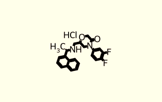 C[C@@H](NCC1CN(c2ccc(F)c(F)c2)C(=O)CO1)c1cccc2ccccc12.Cl